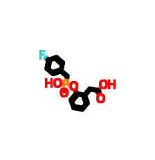 O=C(O)Cc1ccccc1OP(=O)(O)Cc1ccc(F)cc1